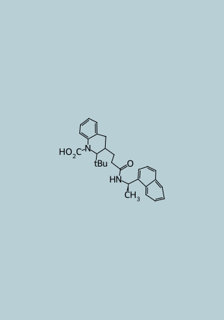 C[C@@H](NC(=O)CCC1Cc2ccccc2N(C(=O)O)C1C(C)(C)C)c1cccc2ccccc12